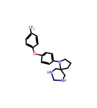 FC(F)(F)c1ccc(Oc2ccc(N3CCCC34CNCNC4)cc2)cc1